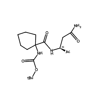 CC(=O)[C@H](CC(N)=O)NC(=O)C1(NC(=O)OC(C)(C)C)CCCCC1